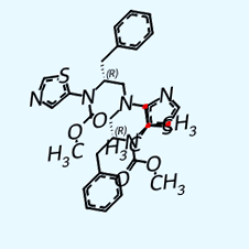 COC(=O)N(c1cncs1)[C@H](Cc1ccccc1)CN(CC(C)C)C[C@@H](Cc1ccccc1)N(C(=O)OC)c1cncs1